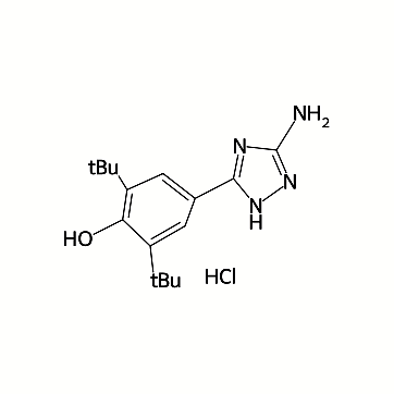 CC(C)(C)c1cc(-c2nc(N)n[nH]2)cc(C(C)(C)C)c1O.Cl